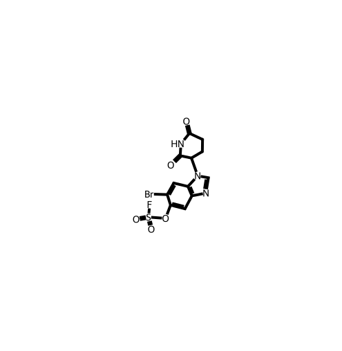 O=C1CCC(n2cnc3cc(OS(=O)(=O)F)c(Br)cc32)C(=O)N1